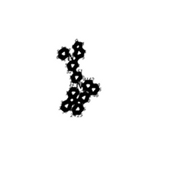 C1=Cc2c(ccc3c4cc(-c5ccc(N(c6ccc7c(c6)C(c6ccccc6)(c6ccccc6)c6ccccc6-7)c6ccc7ccccc7c6)cc5)ccc4n(-c4ccccc4)c23)C1